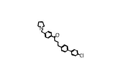 O=C(CCCc1ccc(-c2ccc(Cl)cc2)cc1)c1ccc(CN2CCCC2)cc1